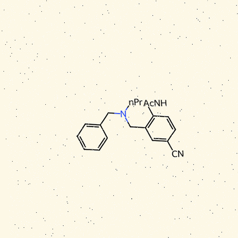 CCCN(Cc1ccccc1)Cc1cc(C#N)ccc1NC(C)=O